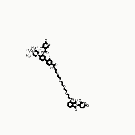 C[C@@H]1CN(c2ccc(-c3ccc(C(=O)NCCOCCOCCOCCOCCNc4cccc5c4C(=O)N(C4CCC(=O)NC4=O)C5=O)cc3F)cc2NC(=O)c2c[nH]c(=O)cc2C(F)(F)F)C[C@H](C)N1C